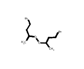 CC(C)CCC(C)OOC(C)CCC(C)C